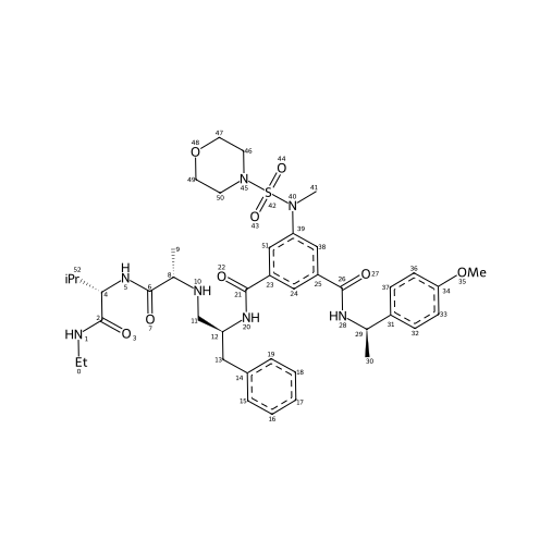 CCNC(=O)[C@@H](NC(=O)[C@H](C)NC[C@H](Cc1ccccc1)NC(=O)c1cc(C(=O)N[C@H](C)c2ccc(OC)cc2)cc(N(C)S(=O)(=O)N2CCOCC2)c1)C(C)C